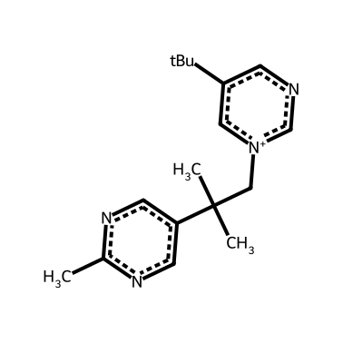 Cc1ncc(C(C)(C)C[n+]2cncc(C(C)(C)C)c2)cn1